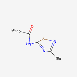 CCCCCC(=O)Nc1nc(C(C)(C)C)ns1